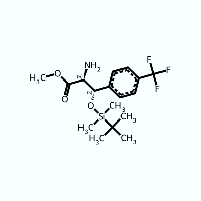 COC(=O)[C@@H](N)[C@@H](O[Si](C)(C)C(C)(C)C)c1ccc(C(F)(F)F)cc1